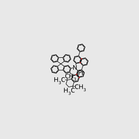 CC(C)c1ccc2c(c1-c1cc3c(cc1N(c1ccc(-c4ccccc4)cc1)c1ccccc1-c1ccccc1)C1(c4ccccc4-c4ccccc41)c1ccccc1-3)C(C)(C)CCC2(C)C